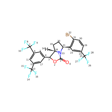 O=C1OC(c2cc(C(F)(F)F)cc(C(F)(F)F)c2)[C@@H]2CC[C@@H](c3cc(C(F)(F)F)ccc3Br)N12